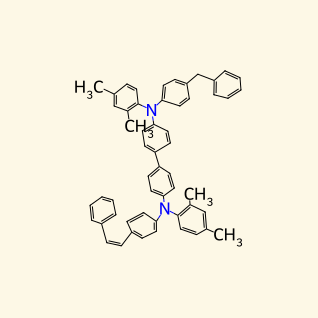 Cc1ccc(N(c2ccc(/C=C\c3ccccc3)cc2)c2ccc(-c3ccc(N(c4ccc(Cc5ccccc5)cc4)c4ccc(C)cc4C)cc3)cc2)c(C)c1